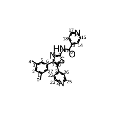 Cc1cc(C)cc(-c2nc(NC(=O)c3ccncc3)sc2-c2ccncc2)c1